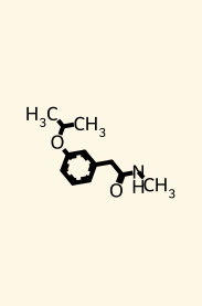 CNC(=O)Cc1cccc(OC(C)C)c1